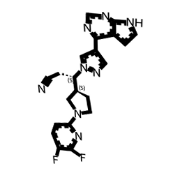 N#CC[C@@H]([C@H]1CCN(c2ccc(F)c(F)n2)C1)n1cc(-c2ncnc3[nH]ccc23)cn1